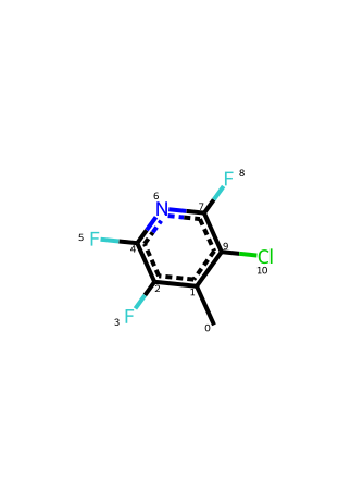 Cc1c(F)c(F)nc(F)c1Cl